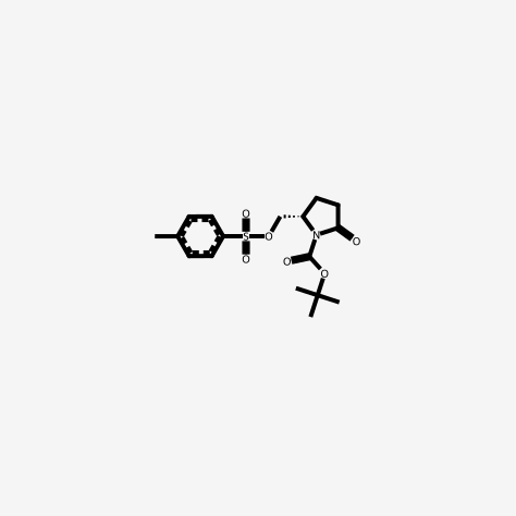 Cc1ccc(S(=O)(=O)OC[C@@H]2CCC(=O)N2C(=O)OC(C)(C)C)cc1